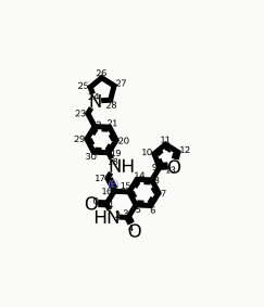 O=C1NC(=O)c2ccc(-c3ccco3)cc2/C1=C\Nc1ccc(CN2CCCC2)cc1